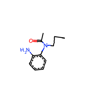 CCCN(C(C)=O)c1ccccc1N